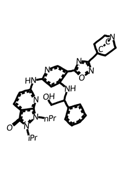 CCCn1c2nc(Nc3cc(NC(CO)c4ccccc4)c(-c4nc(C56CCN(CC5)CC6)no4)cn3)ccc2c(=O)n1C(C)C